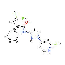 O=C(Nc1ccn(-c2ccnc(F)c2)n1)[C@@]1(c2ccccc2)CC1(F)F